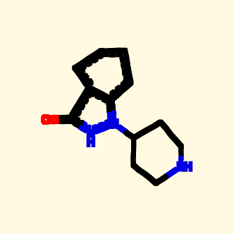 O=c1[nH]n(C2CCNCC2)c2ccccc12